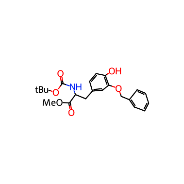 COC(=O)C(Cc1ccc(O)c(OCc2ccccc2)c1)NC(=O)OC(C)(C)C